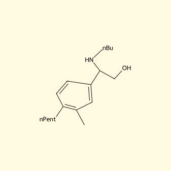 CCCCCc1ccc(C(CO)NCCCC)cc1C